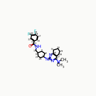 CN(C)c1nc(NC2CCC(CNC(=O)c3ccc(F)c(F)c3)CC2)nc2c1CCCC2